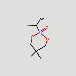 CC(=O)C(C)P1(=O)OCC(C)(C)CO1